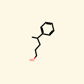 CC(CCCO)c1ccccc1